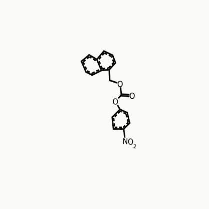 O=C(OCc1cccc2ccccc12)Oc1ccc([N+](=O)[O-])cc1